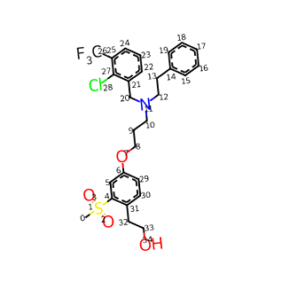 CS(=O)(=O)c1cc(OCCCN(CCc2ccccc2)Cc2cccc(C(F)(F)F)c2Cl)ccc1CCO